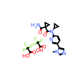 Cn1cncc1-c1ccc(N(C(=O)C2(C(N)=O)CC2)C2CC2)nc1.O=C(O)C(F)(F)F.O=C(O)C(F)(F)F